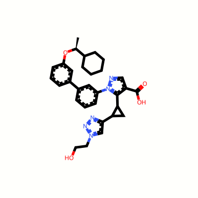 C[C@H](Oc1cccc(-c2cccc(-n3ncc(C(=O)O)c3C3CC3c3cn(CCO)nn3)c2)c1)C1CCCCC1